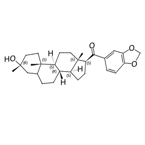 C[C@@]1(O)CC[C@@]2(C)C(CC[C@H]3[C@@H]4CC[C@H](C(=O)c5ccc6c(c5)OCO6)[C@@]4(C)CC[C@@H]32)C1